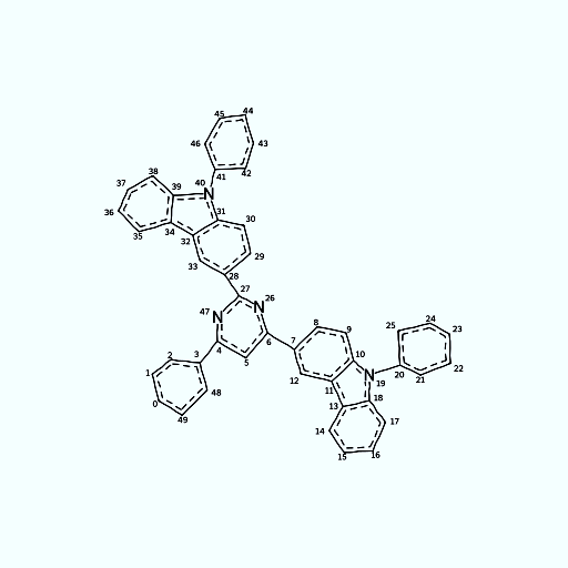 c1ccc(-c2cc(-c3ccc4c(c3)c3ccccc3n4-c3ccccc3)nc(-c3ccc4c(c3)c3ccccc3n4-c3ccccc3)n2)cc1